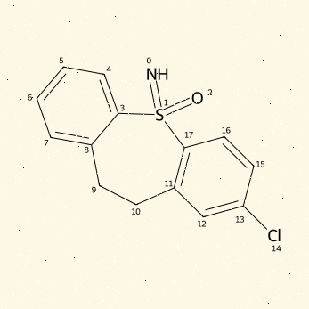 N=S1(=O)c2ccccc2CCc2cc(Cl)ccc21